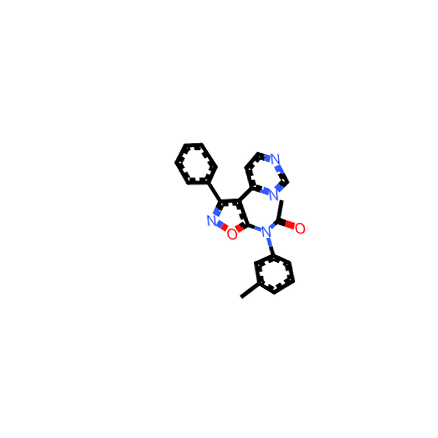 CC(=O)N(c1cccc(C)c1)c1onc(-c2ccccc2)c1-c1ccncn1